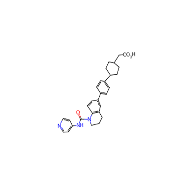 O=C(O)CC1CCC(c2ccc(-c3ccc4c(c3)CCCN4C(=O)Nc3ccncc3)cc2)CC1